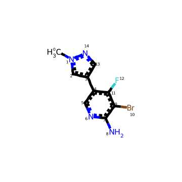 Cn1cc(-c2cnc(N)c(Br)c2F)cn1